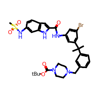 CC(C)(C)OC(=O)N1CCN(Cc2cccc(C(C)(C)c3cc(Br)cc(NC(=O)c4cc5ccc(NS(C)(=O)=O)cc5[nH]4)c3)c2)CC1